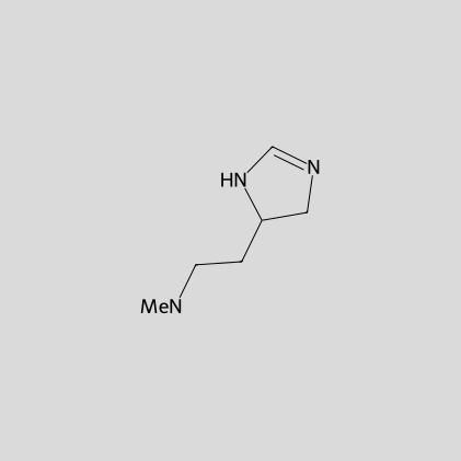 CNCCC1CN=CN1